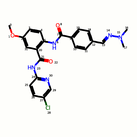 COc1ccc(NC(=O)c2ccc(/C=N/N(C)C)cc2)c(C(=O)Nc2ccc(Cl)cn2)c1